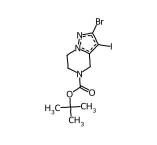 CC(C)(C)OC(=O)N1CCn2nc(Br)c(I)c2C1